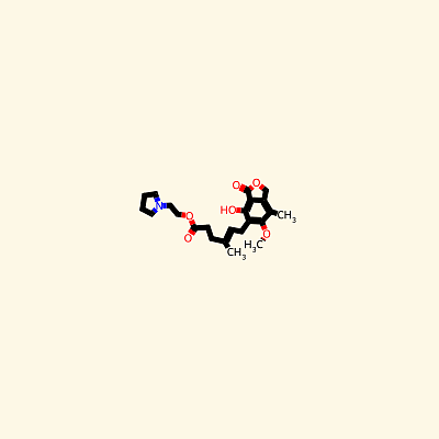 COc1c(C)c2c(c(O)c1C/C=C(\C)CCC(=O)OCCN1CCCC1)C(=O)OC2